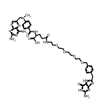 CN(Cc1cnc2nc(N)nc(N)c2n1)c1ccc(C(=O)NC(CCC(=O)NCCOCCOCCOCCOCc2ccc(Cc3nc4nc(N)[nH]c(=O)c4[nH]3)cc2)C(=O)O)cc1